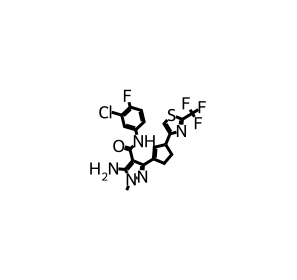 Cn1nc(C2=CC(c3csc(C(F)(F)F)n3)CC2)c(C(=O)Nc2ccc(F)c(Cl)c2)c1N